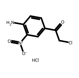 Cl.Nc1ccc(C(=O)CCl)cc1[N+](=O)[O-]